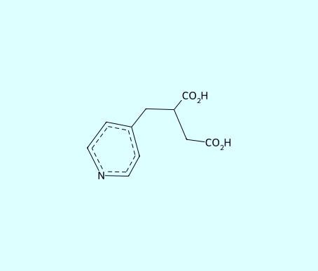 O=C(O)CC(Cc1ccncc1)C(=O)O